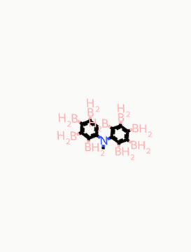 Bc1cc(N(C)c2c(B)c(B)c(B)c(B)c2B)c(B)c(B)c1B